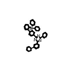 c1ccc(-c2cccc(-c3nc(-c4ccccc4)nc(-c4ccc5c(c4)[Si](c4ccccc4)(c4ccccc4)c4ccccc4-5)n3)c2)cc1